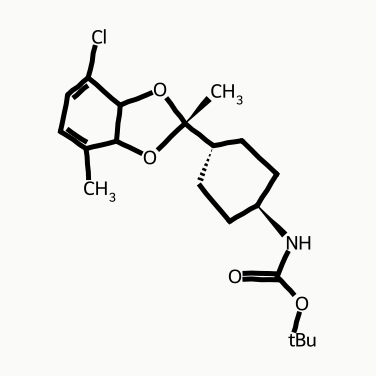 CC1=CC=C(Cl)C2O[C@](C)([C@H]3CC[C@H](NC(=O)OC(C)(C)C)CC3)OC12